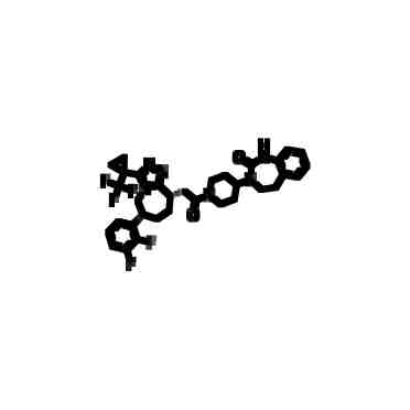 O=C(C[C@@H]1CC[C@@H](c2cccc(F)c2F)Cn2c1nnc2C1(C(F)(F)F)CC1)N1CCC(N2CCc3ccccc3NC2=O)CC1